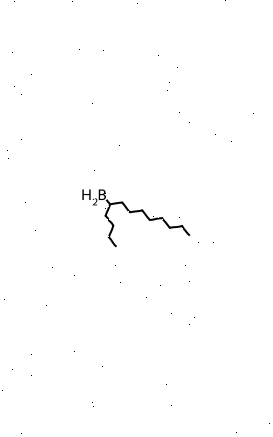 BC(CCCC)CCCCCCCC